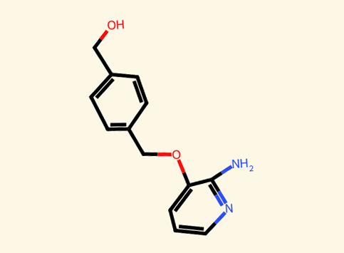 Nc1ncccc1OCc1ccc(CO)cc1